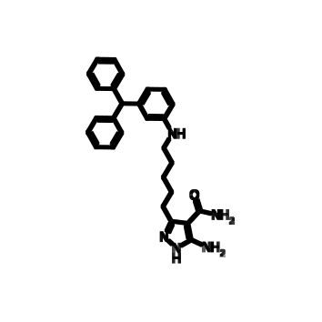 NC(=O)c1c(CCCCCNc2cccc(C(c3ccccc3)c3ccccc3)c2)n[nH]c1N